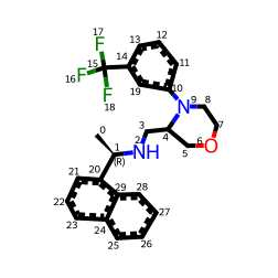 C[C@@H](NCC1COCCN1c1cccc(C(F)(F)F)c1)c1cccc2ccccc12